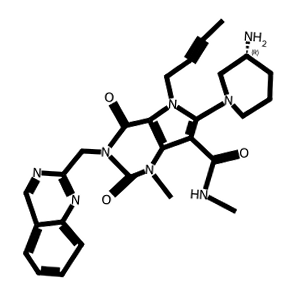 CC#CCn1c(N2CCC[C@@H](N)C2)c(C(=O)NC)c2c1c(=O)n(Cc1ncc3ccccc3n1)c(=O)n2C